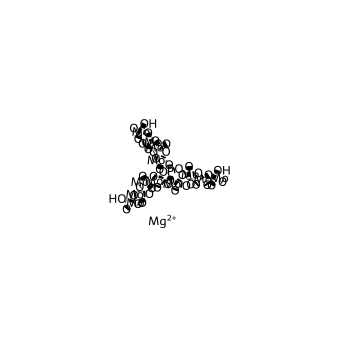 O=P([O][Mo](=[O])(=[O])[O][Mo](=[O])(=[O])[O][Mo](=[O])(=[O])[O][Mo](=[O])(=[O])[OH])([O][Mo](=[O])(=[O])[O][Mo](=[O])(=[O])[O][Mo](=[O])(=[O])[O][Mo](=[O])(=[O])[OH])[O][Mo](=[O])(=[O])[O][Mo](=[O])(=[O])[O][Mo](=[O])(=[O])[O][Mo](=[O])(=[O])[OH].[Mg+2]